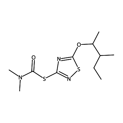 CCC(C)C(C)Oc1nc(SC(=O)N(C)C)ns1